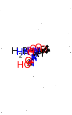 BNPOC(=O)C1=C(CN(C)CCN(C)S(=O)O)[C@H](C)[C@@H]2[C@@H]([C@@H](C)O[Si](CC)(CC)CC)C(=O)N12